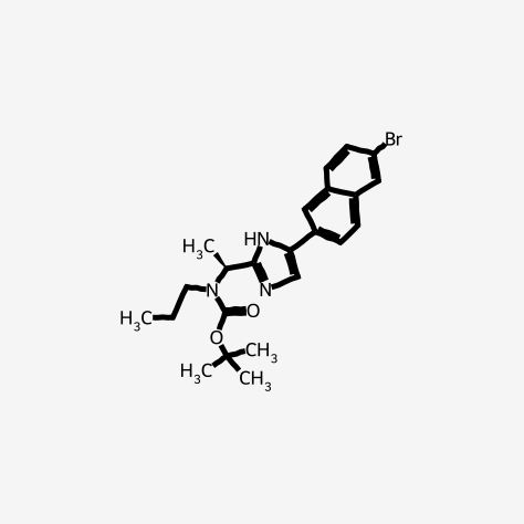 CCCN(C(=O)OC(C)(C)C)[C@@H](C)c1ncc(-c2ccc3cc(Br)ccc3c2)[nH]1